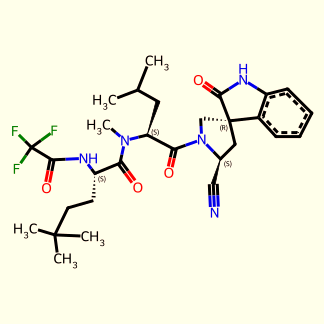 CC(C)C[C@@H](C(=O)N1C[C@]2(C[C@H]1C#N)C(=O)Nc1ccccc12)N(C)C(=O)[C@H](CCC(C)(C)C)NC(=O)C(F)(F)F